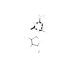 Nc1cc(Cl)n([C@@H]2O[C@H](CO)C(O)C2O)c(=O)n1